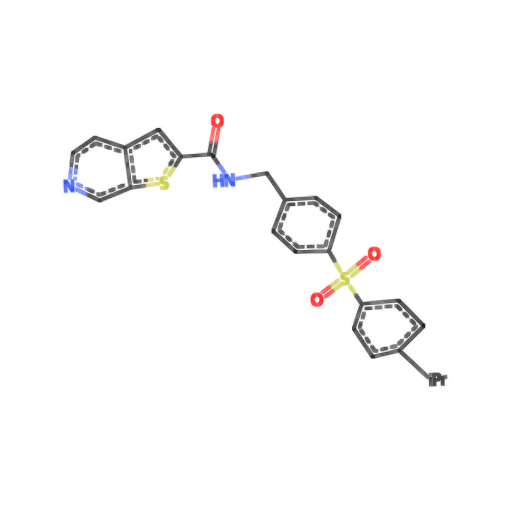 CC(C)c1ccc(S(=O)(=O)c2ccc(CNC(=O)c3cc4ccncc4s3)cc2)cc1